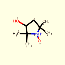 CC1(C)CC(O)C(C)(C)[NH+]1[O-]